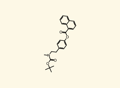 CN(CCc1ccc(OC(=O)c2cccc3ccccc23)cc1)C(=O)OC(C)(C)C